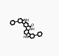 O=c1[nH]c2c(ccc3[nH]c4ccc(-c5ccccc5)cc4c32)c2cc3c(cc12)[nH]c1ccc(-c2ccccc2)cc13